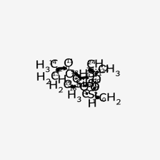 C=C[SiH](C)O[Si](CCCOC(=O)C(=C)C)(O[SiH](C)C=C)O[SiH](C)C=C